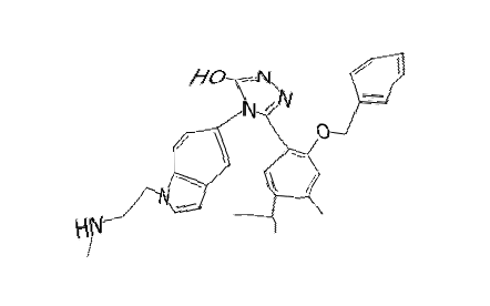 CNCCn1ccc2cc(-n3c(O)nnc3-c3cc(C(C)C)c(C)cc3OCc3ccccc3)ccc21